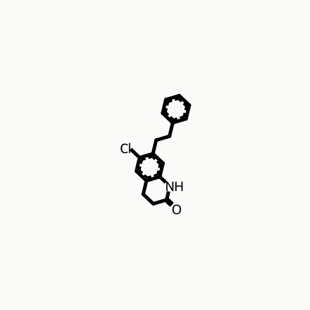 O=C1CCc2cc(Cl)c(CCc3ccccc3)cc2N1